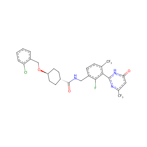 O=c1cc(C(F)(F)F)nc(-c2c(C(F)(F)F)ccc(CNC(=O)[C@H]3CC[C@H](OCc4ccccc4Cl)CC3)c2F)[nH]1